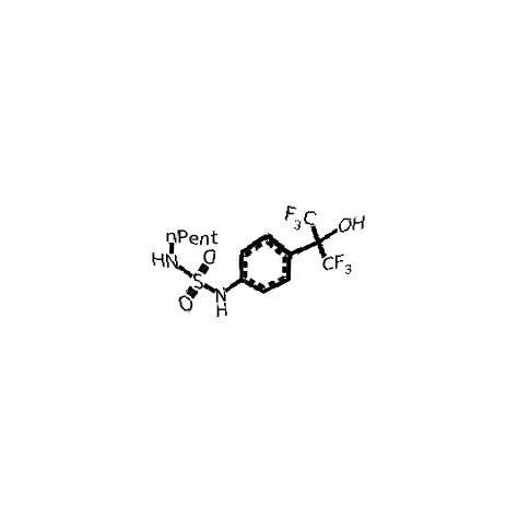 CCCCCNS(=O)(=O)Nc1ccc(C(O)(C(F)(F)F)C(F)(F)F)cc1